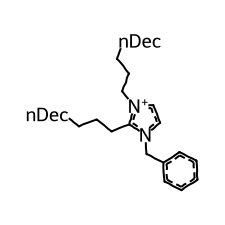 CCCCCCCCCCCCCc1n(Cc2ccccc2)cc[n+]1CCCCCCCCCCCCC